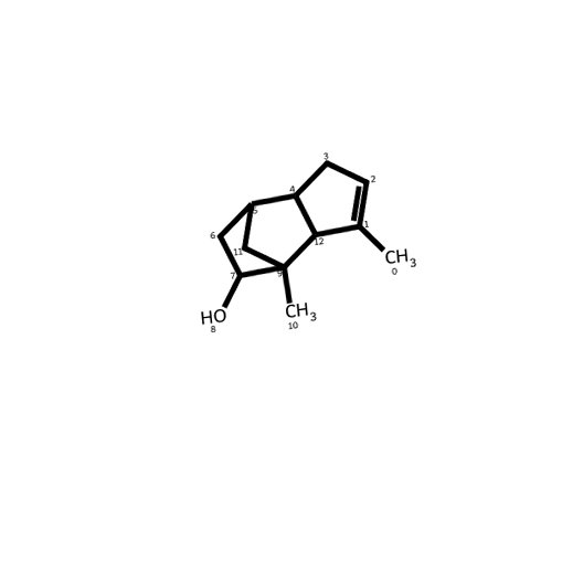 CC1=CCC2C3CC(O)C(C)(C3)C12